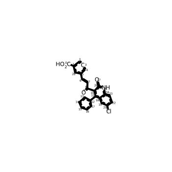 O=C(O)c1cccc(C=CC(=O)c2c(-c3ccccc3)c3cc(Cl)ccc3[nH]c2=O)c1